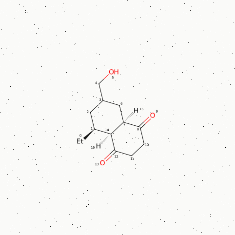 CC[C@H]1CC(CO)C[C@H]2C(=O)CCC(=O)[C@@H]12